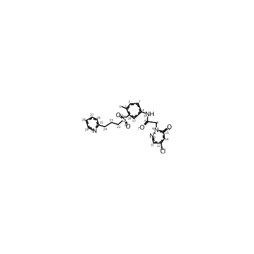 Cc1ccc(NC(=O)Cn2ncc(Cl)cc2=O)cc1S(=O)(=O)CCCc1ccccn1